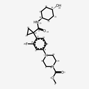 COC(=O)N1CCN(c2ccc(C3(C(=O)N[C@H]4CC[C@H](O)CC4)CC3)c(F)c2)CC1